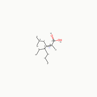 CCCC(CC)/C(CC(C)C)=C(\C)C(=O)O